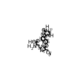 CCOCc1cnc(SCC(N)C(=O)O)nc1Oc1ccc2c(ccc3sc4c(c32)NC[C@@H](C)NC4=O)n1